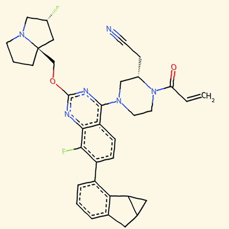 C=CC(=O)N1CCN(c2nc(OC[C@@]34CCCN3C[C@H](F)C4)nc3c(F)c(-c4cccc5c4C4CC4C5)ccc23)C[C@@H]1CC#N